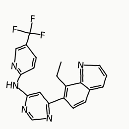 CCc1c(-c2cc(Nc3ccc(C(F)(F)F)cn3)ncn2)ccc2cccnc12